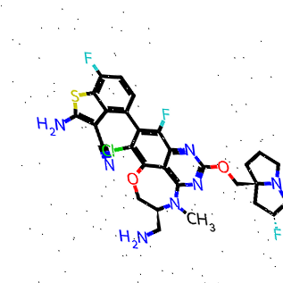 CN1c2nc(OC[C@@]34CCCN3C[C@H](F)C4)nc3c(F)c(-c4ccc(F)c5sc(N)c(C#N)c45)c(Cl)c(c23)OC[C@@H]1CN